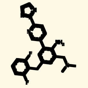 CN(C)Cc1[c]c(Cc2c(F)cccc2F)cc(-c2ccc(-n3nccn3)nc2)c1N